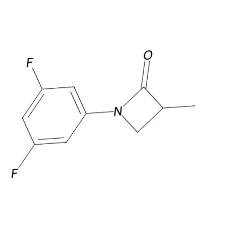 CC1CN(c2cc(F)cc(F)c2)C1=O